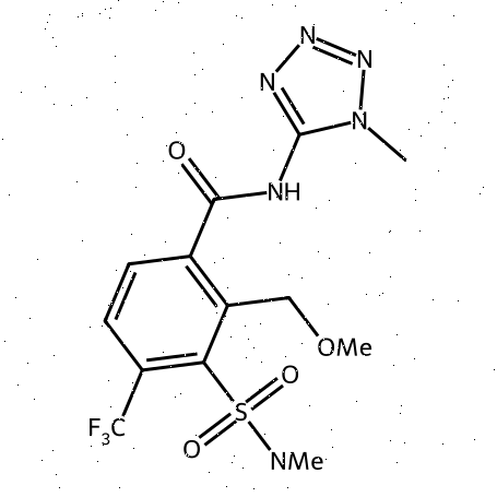 CNS(=O)(=O)c1c(C(F)(F)F)ccc(C(=O)Nc2nnnn2C)c1COC